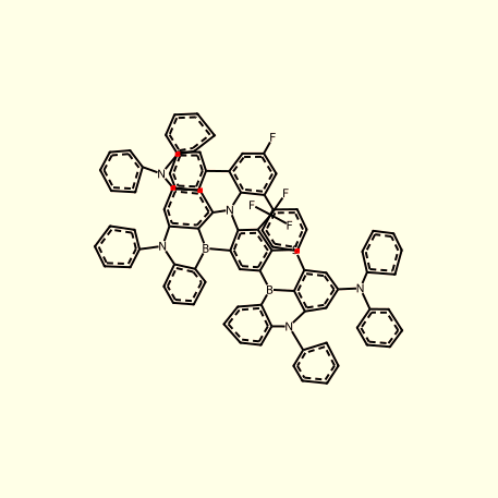 Fc1cc(-c2ccccc2)c(N2c3cc(N(c4ccccc4)c4ccccc4)cc4c3B(c3ccccc3N4c3ccccc3)c3cc4c(c(C(F)(F)F)c32)Sc2cc(N(c3ccccc3)c3ccccc3)cc3c2B4c2ccccc2N3c2ccccc2)c(-c2ccccc2)c1